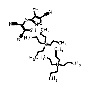 CCC[N+](CCC)(CCC)CCC.CCC[N+](CCC)(CCC)CCC.N#CC(S)=C(C#N)Sc1nsc(C#N)c1S